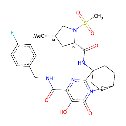 CO[C@H]1C[C@@H](C(=O)NC23CCC(CC2)Cn2c3nc(C(=O)NCc3ccc(F)cc3)c(O)c2=O)N(S(C)(=O)=O)C1